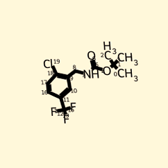 CC(C)(C)OC(=O)NCc1cc(C(F)(F)F)ccc1Cl